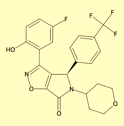 O=C1c2onc(-c3cc(F)ccc3O)c2[C@@H](c2ccc(C(F)(F)F)cc2)N1C1CCOCC1